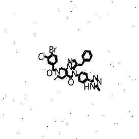 Cc1nnc(-c2ccc(-n3c(=O)c4c(n5ncc(Cc6ccccc6)c35)CN(C(=O)c3ccc(Br)c(Cl)c3)[C@H](C)C4)cc2)[nH]1